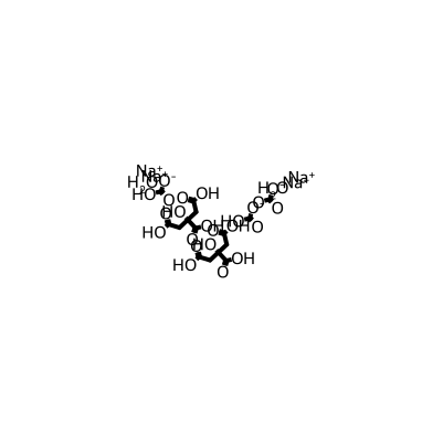 O.O.O=C(O)CC(O)(CC(=O)O)C(=O)O.O=C(O)CC(O)(CC(=O)O)C(=O)O.O=C([O-])O.O=C([O-])O.O=C([O-])[O-].[Na+].[Na+].[Na+].[Na+]